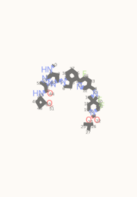 CNc1cc(N2CCc3c(-c4ncc(CN5CC6(CCN(C(=O)OC(C)(C)C)CC6(F)F)C5)cc4F)cccc32)nn2c(C(=O)N[C@@H]3CC[C@H]3OC)cnc12